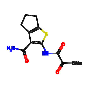 COC(=O)C(=O)Nc1sc2c(c1C(N)=O)CCC2